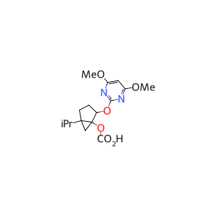 COc1cc(OC)nc(OC2CCC3(C(C)C)CC23OC(=O)O)n1